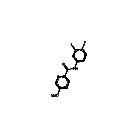 COc1cnc(C(=O)Nc2ccc(F)c(I)c2)cn1